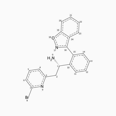 N[C@@H](Cc1cccc(Br)n1)c1ccccc1-c1noc2ccccc12